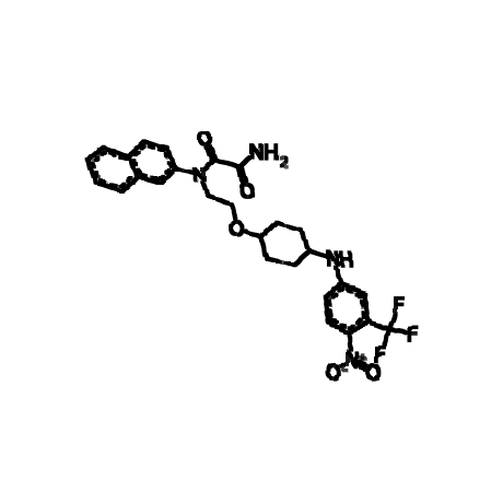 NC(=O)C(=O)N(CCOC1CCC(Nc2ccc([N+](=O)[O-])c(C(F)(F)F)c2)CC1)c1ccc2ccccc2c1